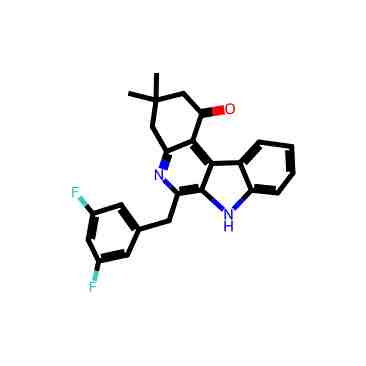 CC1(C)CC(=O)c2c(nc(Cc3cc(F)cc(F)c3)c3[nH]c4ccccc4c23)C1